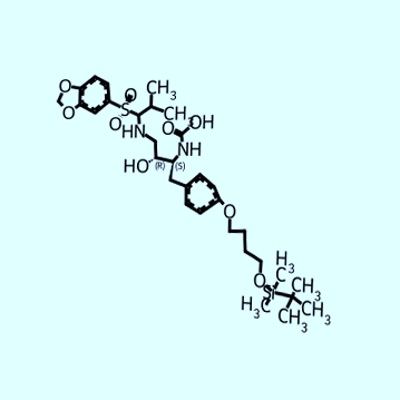 CC(C)C(NC[C@@H](O)[C@H](Cc1ccc(OCCCCO[Si](C)(C)C(C)(C)C)cc1)NC(=O)O)S(=O)(=O)c1ccc2c(c1)OCO2